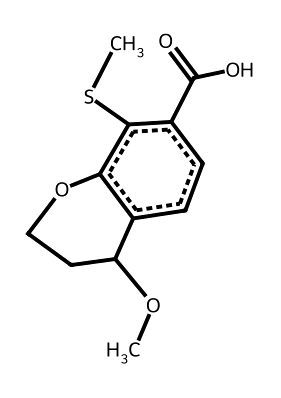 COC1CCOc2c1ccc(C(=O)O)c2SC